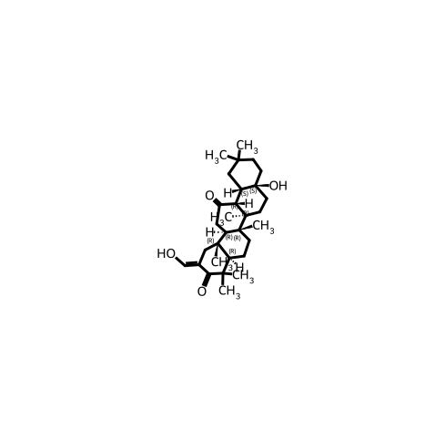 CC1(C)CC[C@]2(O)CC[C@]3(C)[C@H](C(=O)C[C@@H]4[C@@]5(C)CC(=CO)C(=O)C(C)(C)[C@@H]5CC[C@]43C)[C@@H]2C1